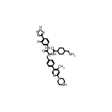 Cc1cc(N2CCNCC2)ncc1-c1ccc(C[C@H](NC(=O)C2CCC(CN)CC2)C(=O)Nc2ccc(-c3nn[nH]n3)c(F)c2)cc1